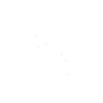 CCC(=O)Nc1cccc2c(C(=O)C(=O)N3CCN(C(=O)c4ccccc4)C[C@H]3C)c[nH]c12